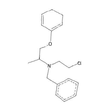 CC(COC1=CCCC=C1)N(CCCl)Cc1ccccc1